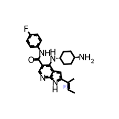 C/C=C(\C)c1cc2c(N[C@H]3CC[C@H](N)CC3)c(C(=O)Nc3ccc(F)cc3)cnc2[nH]1